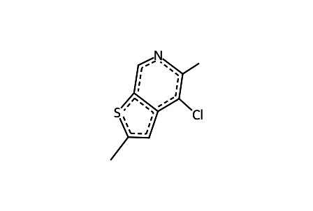 Cc1cc2c(Cl)c(C)ncc2s1